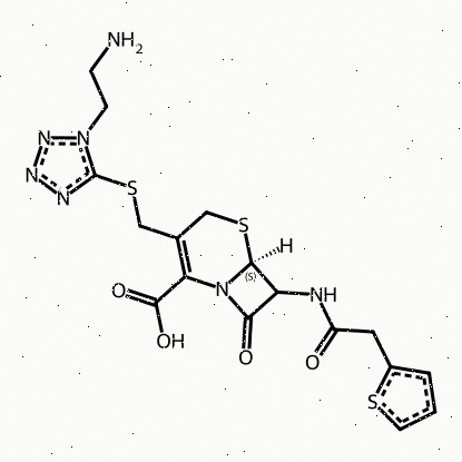 NCCn1nnnc1SCC1=C(C(=O)O)N2C(=O)C(NC(=O)Cc3cccs3)[C@@H]2SC1